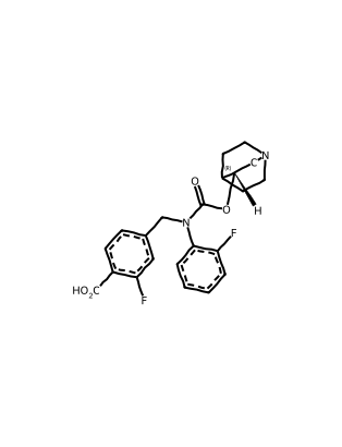 O=C(O)c1ccc(CN(C(=O)O[C@H]2CN3CCC2CC3)c2ccccc2F)cc1F